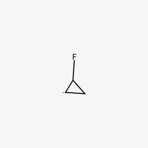 FC1[CH]C1